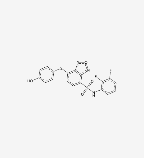 O=S(=O)(Nc1cccc(F)c1F)c1ccc(Sc2ccc(O)cc2)c2nonc12